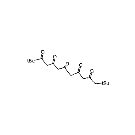 CC(C)(C)CC(=O)CC(=O)CC(=O)CC(=O)CC(=O)C(C)(C)C